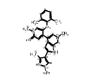 Cc1cccc(C)c1Oc1cn(C)c(=O)cc1C1=CN(C)Cc2[nH]c(-c3cn(C(C)C)nc3C)cc21